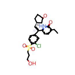 CCc1ccc(/C(=C\[C@H]2CCC(=O)C2)c2ccc(S(=O)(=O)CCCO)c(Cl)c2)[nH]c1=O